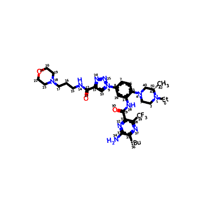 CCN1CCN(c2ccc(-n3cc(C(=O)NCCCN4CCOCC4)nn3)cc2NC(=O)c2nc(N)c(C(C)(C)C)nc2C(F)(F)F)C[C@@H]1C